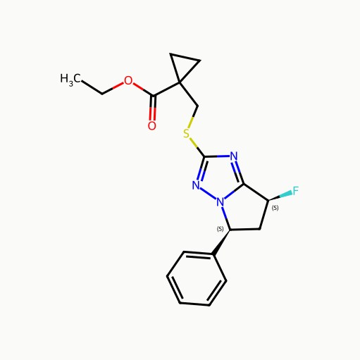 CCOC(=O)C1(CSc2nc3n(n2)[C@H](c2ccccc2)C[C@@H]3F)CC1